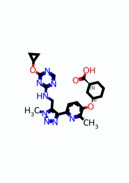 Cc1nc(-c2nnn(C)c2CNc2ncnc(OC3CC3)n2)ccc1O[C@H]1CCC[C@H](C(=O)O)C1